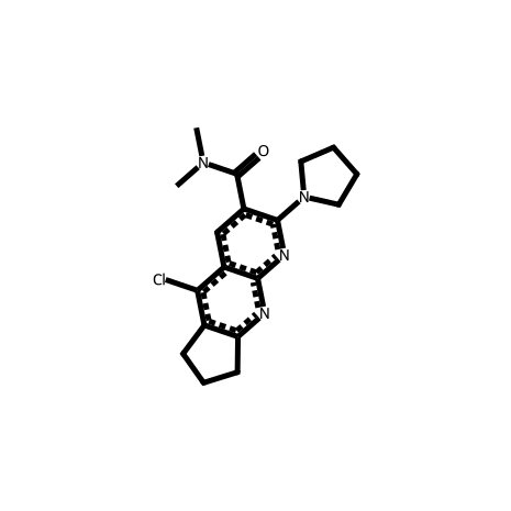 CN(C)C(=O)c1cc2c(Cl)c3c(nc2nc1N1CCCC1)CCC3